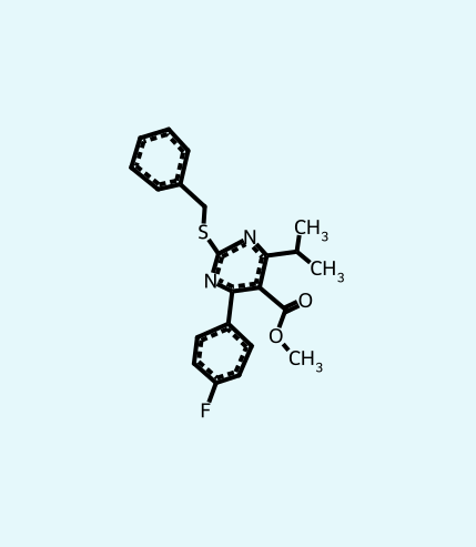 COC(=O)c1c(-c2ccc(F)cc2)nc(SCc2ccccc2)nc1C(C)C